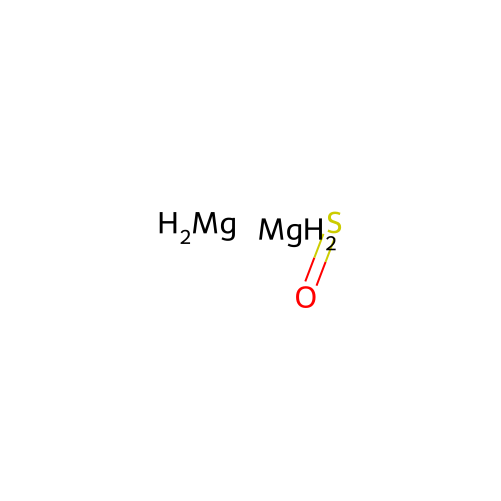 O=S.[MgH2].[MgH2]